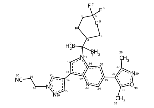 BC(B)(C1CCC(F)(F)CC1)n1cc(-c2cnn(CCC#N)c2)c2ncc(-c3c(C)noc3C)cc21